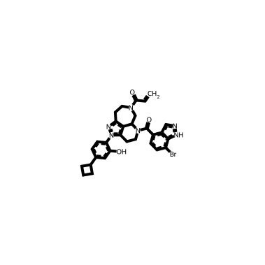 C=CC(=O)N1CCc2nn(-c3ccc(C4CCC4)cc3O)c3c2C(C1)N(C(=O)c1ccc(Br)c2[nH]ncc12)CC3